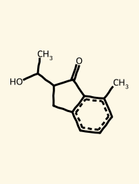 Cc1cccc2c1C(=O)C(C(C)O)C2